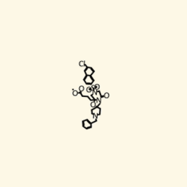 COC(=O)CCCC12CN(S(=O)(=O)c3ccc4cc(Cl)ccc4c3)CC(=O)N1CC1(CCN(Cc3ccccc3)CC1)O2